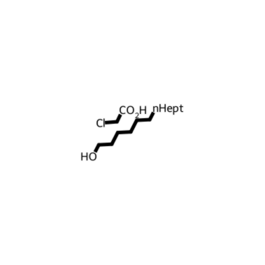 CCCCCCCCCCCCCO.O=C(O)CCl